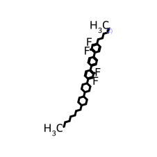 C/C=C\CCCc1ccc(-c2ccc(-c3ccc(C4CCC(C5CCC(CCCCCCCC)CC5)CC4)c(F)c3F)cc2)c(F)c1F